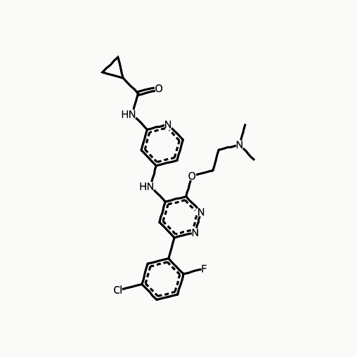 CN(C)CCOc1nnc(-c2cc(Cl)ccc2F)cc1Nc1ccnc(NC(=O)C2CC2)c1